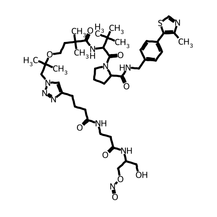 Cc1ncsc1-c1ccc(CNC(=O)C2CCCN2C(=O)C(NC(=O)C(C)(C)CCOC(C)(C)Cn2cc(CCCC(=O)NCCC(=O)NC(CO)CON=O)nn2)C(C)(C)C)cc1